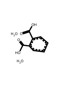 O.O.O=C(O)c1ccccc1C(=O)O